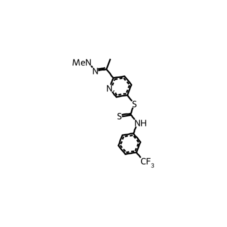 CNN=C(C)c1ccc(SC(=S)Nc2cccc(C(F)(F)F)c2)cn1